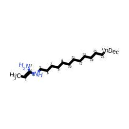 CC=C(N)NCCCCCCCCCCCCCCCCCCCCCC